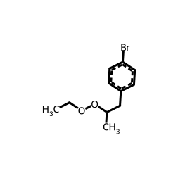 CCOOC(C)Cc1ccc(Br)cc1